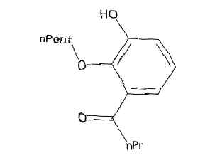 CCCCCOc1c(O)cccc1C(=O)CCC